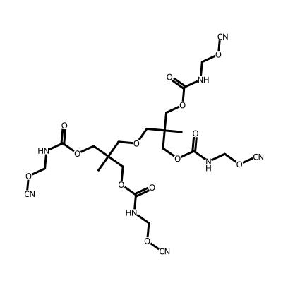 CC(COCC(C)(COC(=O)NCOC#N)COC(=O)NCOC#N)(COC(=O)NCOC#N)COC(=O)NCOC#N